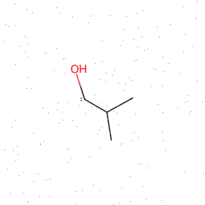 CC(C)[C]O